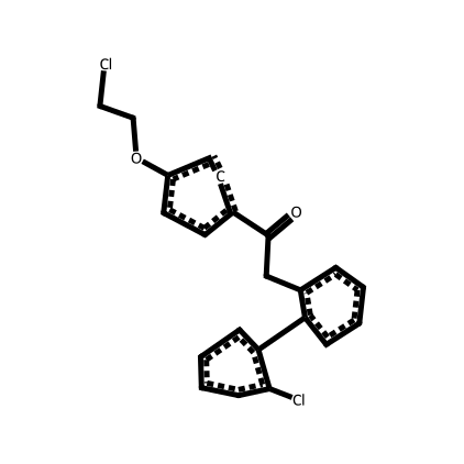 O=C(Cc1ccccc1-c1ccccc1Cl)c1ccc(OCCCl)cc1